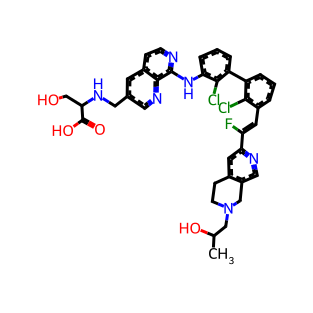 CC(O)CN1CCc2cc(/C(F)=C/c3cccc(-c4cccc(Nc5nccc6cc(CNC(CO)C(=O)O)cnc56)c4Cl)c3Cl)ncc2C1